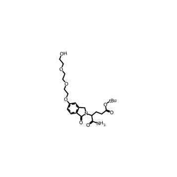 CC(C)(C)OC(=O)CCC(C(N)=O)N1Cc2cc(OCCOCCOCCO)ccc2C1=O